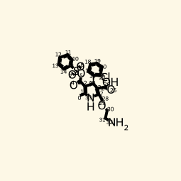 CC1=C(C(=O)OS(=O)(=O)c2ccccc2)[C@@H](c2ccccc2Cl)C(C(=O)O)=C(COCCN)N1